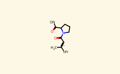 CCC/C(C)=C/C(=O)N1CCCC1C(=O)N=O